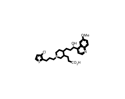 COc1ccc2nccc([C@@H](O)CCC3CCN(CCCc4sccc4Cl)CC3CCC(=O)O)c2c1